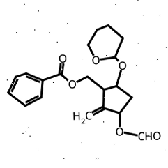 C=C1C(OC=O)CC(OC2CCCCO2)C1COC(=O)c1ccccc1